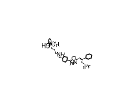 CC(C)CC/C(=C\c1nnc(-c2ccc(CNCCCP(=O)(O)O)cc2)o1)c1ccccc1